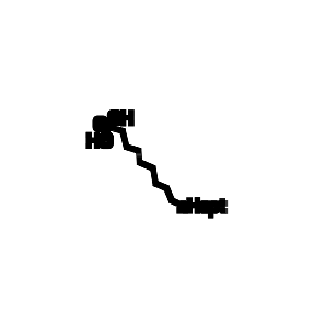 CCCCCCCCCCCCCCCP(=O)(O)O